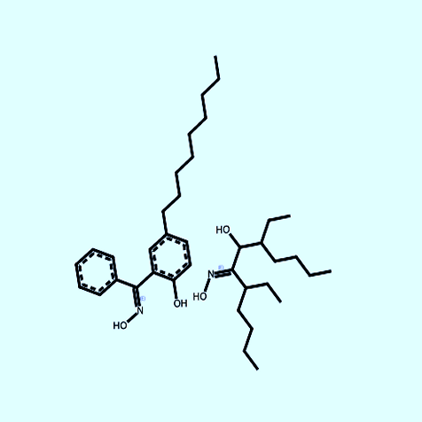 CCCCC(CC)/C(=N\O)C(O)C(CC)CCCC.CCCCCCCCCc1ccc(O)c(/C(=N/O)c2ccccc2)c1